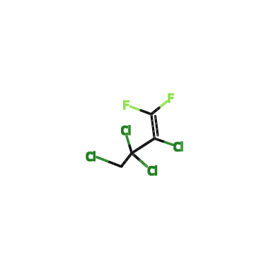 FC(F)=C(Cl)C(Cl)(Cl)CCl